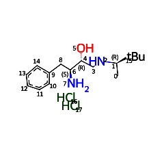 C[C@@H](NC[C@@H](O)[C@@H](N)Cc1ccccc1)C(C)(C)C.Cl.Cl